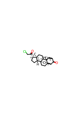 C[C@]12CC[C@H]3[C@@](C)(CCC4=CC(=O)C=C[C@@]43C)[C@@H]1CC[C@@H]2C(=O)CCl